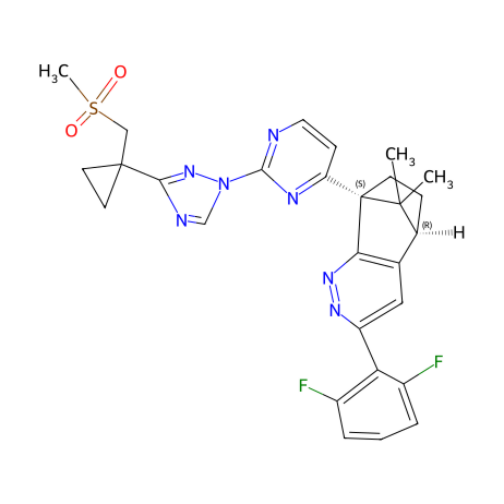 CC1(C)[C@H]2CC[C@]1(c1ccnc(-n3cnc(C4(CS(C)(=O)=O)CC4)n3)n1)c1nnc(-c3c(F)cccc3F)cc12